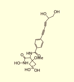 COC1(C(NC(=O)c2ccc(C#CC#CC(O)CO)cc2)C(=O)NO)CS(O)(O)C1